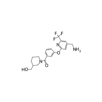 NCc1cc(Oc2cccc(C(=O)N3CCCC(CO)C3)c2)nc(C(F)(F)F)c1